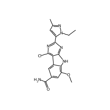 CCn1nc(C)cc1-c1nc(Cl)c2c(n1)[nH]c1c(OC)cc(C(N)=O)cc12